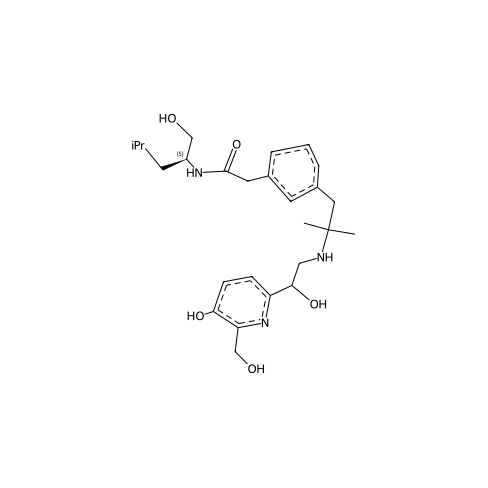 CC(C)C[C@@H](CO)NC(=O)Cc1cccc(CC(C)(C)NCC(O)c2ccc(O)c(CO)n2)c1